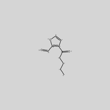 CCCCC(=O)c1ccoc1C=O